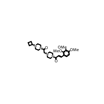 COc1ccc(C=CC(=O)N2CCN(CC(=O)N3CCN(C4CCC4)CC3)CC2)c(OC)c1OC